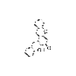 O=c1cc2oc3ccccc3cc-2c(Cc2ccccc2O)c1